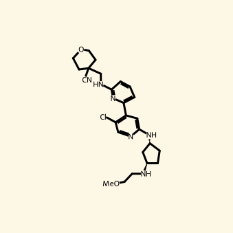 COCCN[C@@H]1CC[C@@H](Nc2cc(-c3cccc(NCC4(C#N)CCOCC4)n3)c(Cl)cn2)C1